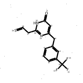 O=c1cc(Cc2cccc(C(F)(F)F)c2)nc(CC=S)[nH]1